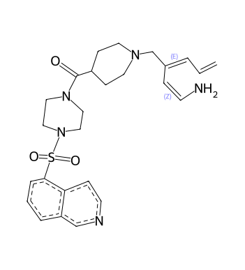 C=C/C=C(\C=C/N)CN1CCC(C(=O)N2CCN(S(=O)(=O)c3cccc4cnccc34)CC2)CC1